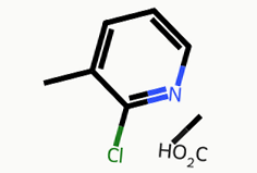 CC(=O)O.Cc1cccnc1Cl